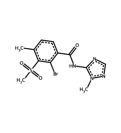 Cc1ccc(C(=O)Nc2ncnn2C)c(Br)c1S(C)(=O)=O